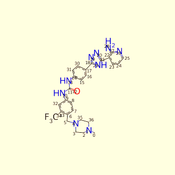 CN1CCN(Cc2ccc(NC(=O)Nc3ccc(-c4nnc(-c5cccnc5N)[nH]4)cc3)cc2C(F)(F)F)CC1